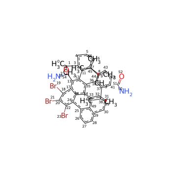 CC(C)c1cccc(C(C)C)c1-c1c(C(N)=O)c2c(Br)c(Br)c(Br)c3c4cccc5cccc(c(c1-c1c(C(C)C)cccc1C(C)C)c23)c54.NC=O